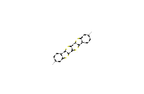 Cc1ccc2c(c1)sc1c2sc2c3sc4cc(C)ccc4c3sc12